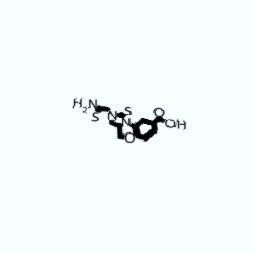 NC(=S)CN1CC2COc3ccc(C(=O)O)cc3N2C1=S